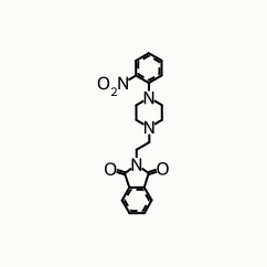 O=C1c2ccccc2C(=O)N1CCN1CCN(c2ccccc2[N+](=O)[O-])CC1